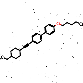 CCCCCOc1ccc(-c2ccc(C#CC3CCC(CC)CC3)cc2)cc1